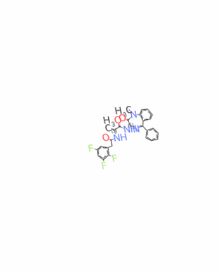 C[C@H](NC(=O)Cc1cc(F)cc(F)c1F)C(=O)N[C@H]1N=C(c2ccccc2)c2ccccc2N(C)C1=O